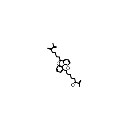 C=C(C)C(=C)CCCCC(=O)c1ccccc1-c1ccccc1C(=O)CCCCC(=O)C(=C)C